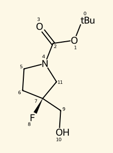 CC(C)(C)OC(=O)N1CC[C@@](F)(CO)C1